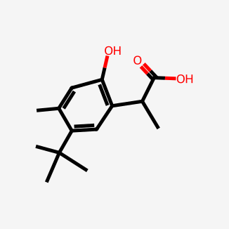 Cc1cc(O)c(C(C)C(=O)O)cc1C(C)(C)C